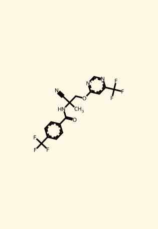 CC(C#N)(COc1cc(C(F)(F)F)ncn1)NC(=O)c1ccc(C(F)(F)F)cc1